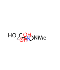 CNC1CCN(CC(O)C(O)C(=O)O)CC1